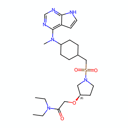 CCN(CC)C(=O)CO[C@@H]1CCN(S(=O)(=O)CC2CCC(N(C)c3ncnc4[nH]ccc34)CC2)C1